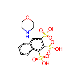 C1COCCN1.O=S(=O)(O)c1cc2ccccc2c(S(=O)(=O)O)c1S(=O)(=O)O